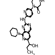 CCC(O)c1cc2cnc(Nc3ccc(N4CCCNCC4=O)cn3)nc2c(N2CCCCC2)n1